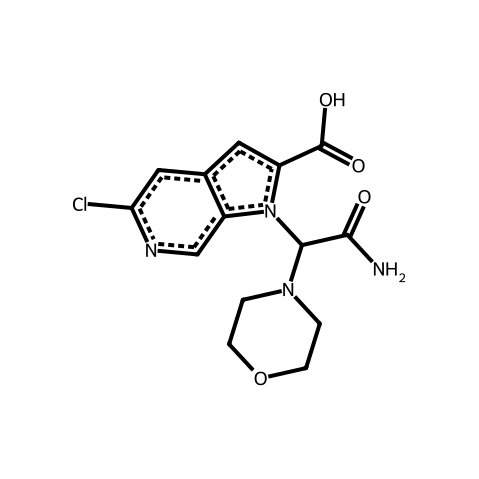 NC(=O)C(N1CCOCC1)n1c(C(=O)O)cc2cc(Cl)ncc21